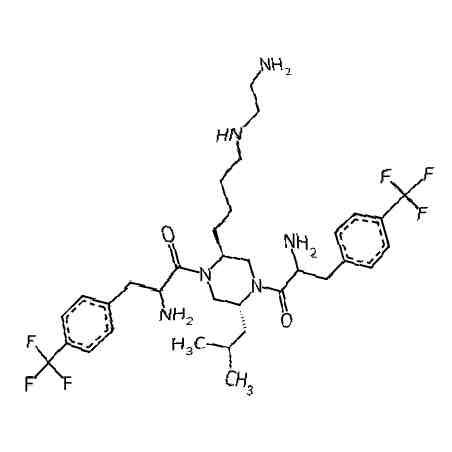 CC(C)C[C@@H]1CN(C(=O)C(N)Cc2ccc(C(F)(F)F)cc2)[C@@H](CCCCNCCN)CN1C(=O)C(N)Cc1ccc(C(F)(F)F)cc1